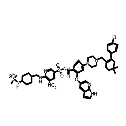 CC1(C)CCC(CN2CCN(c3ccc(C(=O)NS(=O)(=O)c4cnc(NCC5CCC(N[SH](C)(C)=O)CC5)c([N+](=O)[O-])c4)c(Oc4cnc5[nH]ccc5c4)c3)CC2)=C(c2ccc(Cl)cc2)C1